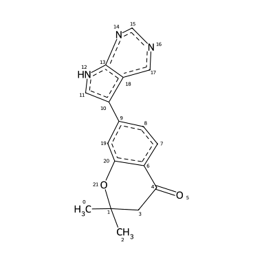 CC1(C)CC(=O)c2ccc(-c3c[nH]c4ncncc34)cc2O1